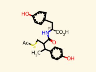 CC(=O)SCC(C(=O)N[C@@H](Cc1ccc(O)cc1)C(=O)O)C(C)c1ccc(O)cc1